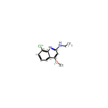 CCOc1cc(NCC(F)(F)F)nc2c(Cl)cccc12